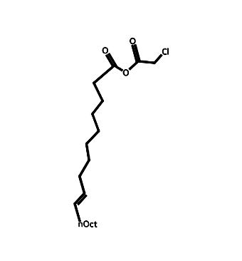 CCCCCCCCC=CCCCCCCCC(=O)OC(=O)CCl